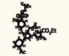 CCOC(=O)c1nc(-c2cc(-c3cccc(C(C)=O)c3)n(Cc3ccc(S(=O)(=O)/N=C/N(C)C)c(F)c3)c2CC2CC2)sc1C